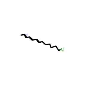 C/C=C/C=CC=CCCCCCCCl